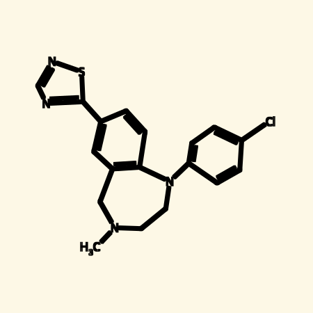 CN1CCN(c2ccc(Cl)cc2)c2ccc(-c3ncns3)cc2C1